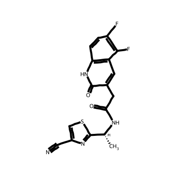 C[C@@H](NC(=O)Cc1cc2c(F)c(F)ccc2[nH]c1=O)c1nc(C#N)cs1